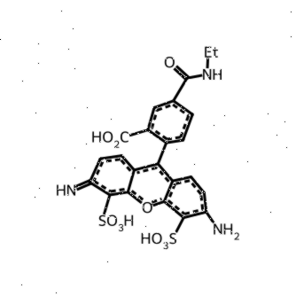 CCNC(=O)c1ccc(-c2c3ccc(=N)c(S(=O)(=O)O)c-3oc3c(S(=O)(=O)O)c(N)ccc23)c(C(=O)O)c1